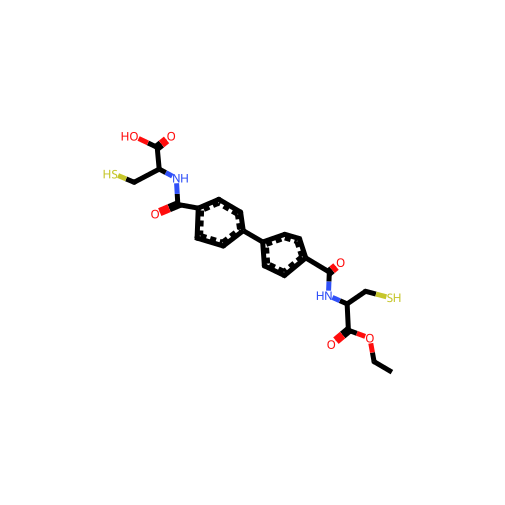 CCOC(=O)C(CS)NC(=O)c1ccc(-c2ccc(C(=O)NC(CS)C(=O)O)cc2)cc1